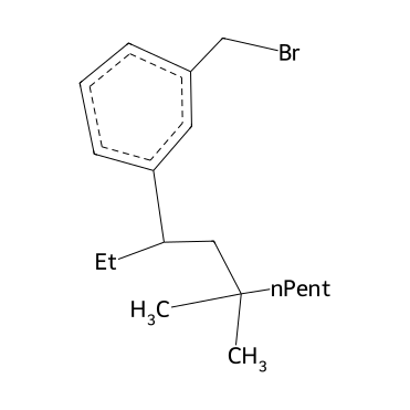 CCCCCC(C)(C)CC(CC)c1cccc(CBr)c1